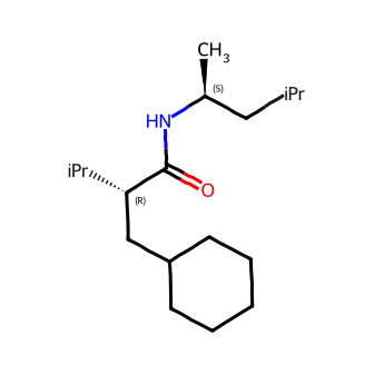 CC(C)C[C@H](C)NC(=O)[C@H](CC1CCCCC1)C(C)C